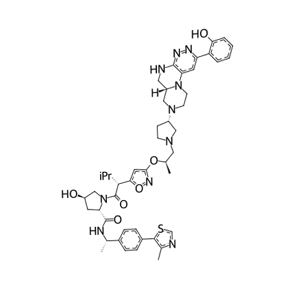 Cc1ncsc1-c1ccc([C@H](C)NC(=O)[C@@H]2C[C@@H](O)CN2C(=O)[C@@H](c2cc(O[C@H](C)CN3CC[C@H](N4CCN5c6cc(-c7ccccc7O)nnc6NC[C@H]5C4)C3)no2)C(C)C)cc1